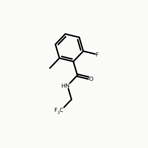 Cc1cccc(F)c1C(=O)NCC(F)(F)F